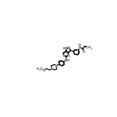 C=CC(=O)Nc1cccc(-c2n[nH]c3cnc(Nc4ccc(N5CCN(CCOC)CC5)cc4)nc23)c1